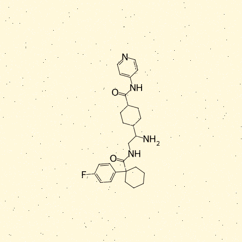 NC(CNC(=O)C1(c2ccc(F)cc2)CCCCC1)C1CCC(C(=O)Nc2ccncc2)CC1